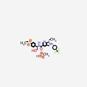 CC[C@H]1c2ncc(C(=O)N[C@@H](CO)c3ccc(S(=O)(=O)CC)cc3)cc2CN1C[C@H]1CC[C@H](C(F)(F)F)CC1.CS(=O)(=O)O